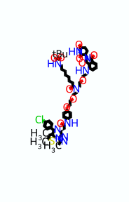 CC1=C(C)C2C(c3ccc(Cl)cc3)=N[C@@H](CC(=O)Nc3ccc(OCCOCCN(CCOCCNc4cccc5c4C(=O)N(C4CCC(=O)NC4=O)C5=O)C(=O)CCCCCCCNC(=O)OC(C)(C)C)cc3)c3nnc(C)n3C2S1